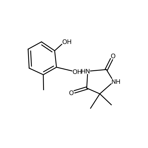 CC1(C)NC(=O)NC1=O.Cc1cccc(O)c1O